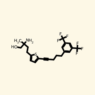 CC(N)(CO)CCc1ccc(C#CCCCc2cc(C(F)(F)F)cc(C(F)(F)F)c2)s1